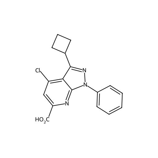 O=C(O)c1cc(Cl)c2c(C3CCC3)nn(-c3ccccc3)c2n1